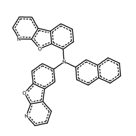 c1ccc2cc(N(c3ccc4oc5ncccc5c4c3)c3cccc4c3oc3ncccc34)ccc2c1